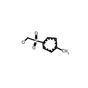 Cc1ccc(S(=O)(=O)C[O])cc1